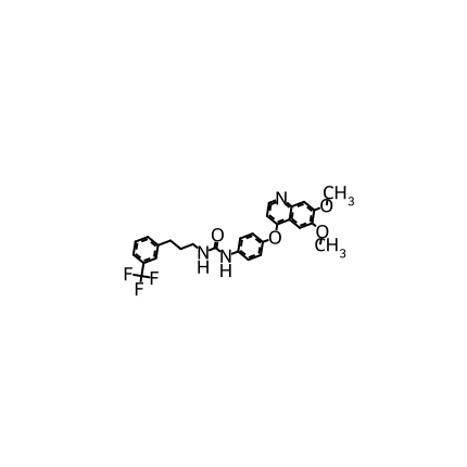 COc1cc2nccc(Oc3ccc(NC(=O)NCCCc4cccc(C(F)(F)F)c4)cc3)c2cc1OC